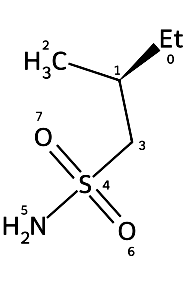 CC[C@H](C)CS(N)(=O)=O